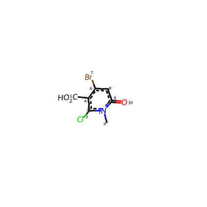 Cn1c(Cl)c(C(=O)O)c(Br)cc1=O